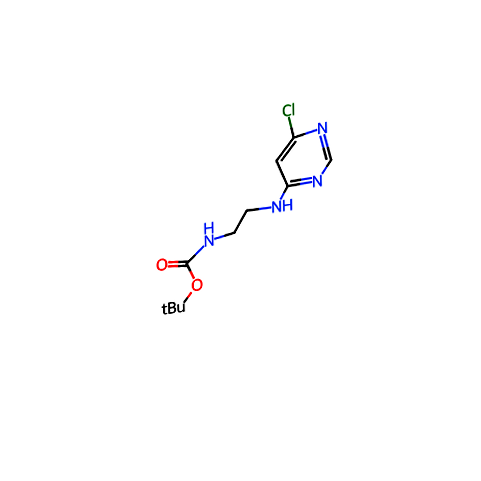 CC(C)(C)OC(=O)NCCNc1cc(Cl)ncn1